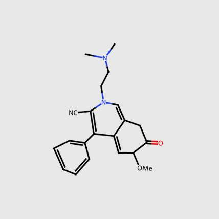 COC1C=C2C(=CN(CCN(C)C)C(C#N)=C2c2ccccc2)CC1=O